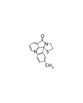 Cc1cccc(C23SCCN2C(=O)c2cccnc23)c1